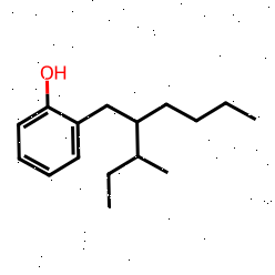 CCCCC(Cc1ccccc1O)C(C)CC